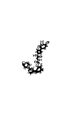 O=C(COc1c(-c2csc(N3CCOCC3)n2)ccc(F)c1F)NCC(=O)Nc1ccc(C2CCC(=O)NC2=O)cc1